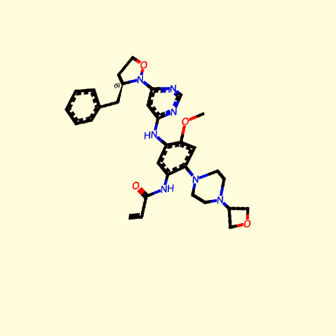 C=CC(=O)Nc1cc(Nc2cc(N3OCC[C@@H]3Cc3ccccc3)ncn2)c(OC)cc1N1CCN(C2COC2)CC1